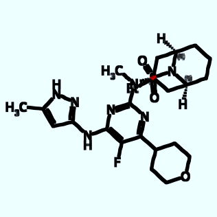 CCS(=O)(=O)N1[C@@H]2CCC[C@H]1C[C@H](N(C)c1nc(Nc3cc(C)[nH]n3)c(F)c(C3CCOCC3)n1)C2